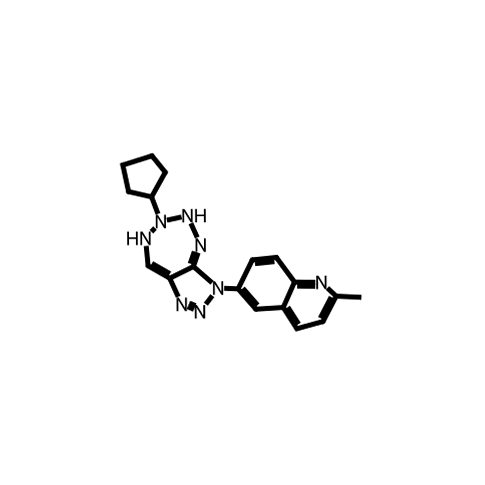 Cc1ccc2cc(-n3nnc4c[nH]n(C5CCCC5)[nH]nc43)ccc2n1